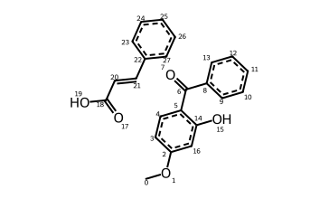 COc1ccc(C(=O)c2ccccc2)c(O)c1.O=C(O)C=Cc1ccccc1